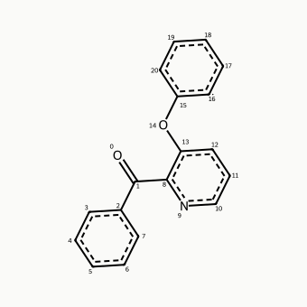 O=C(c1ccccc1)c1ncccc1Oc1[c]cccc1